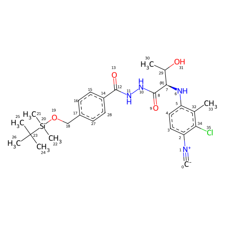 [C-]#[N+]c1ccc(N[C@@H](C(=O)NNC(=O)c2ccc(CO[Si](C)(C)C(C)(C)C)cc2)C(C)O)c(C)c1Cl